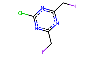 Clc1nc(CI)nc(CI)n1